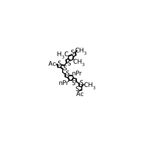 CCCc1c2cc(-c3sc(C)c4cc(C(C)=O)sc34)sc2c(CCC)c2cc(Cc3sc(-c4cc5c(C)c6sc(C)cc6c(C)c5s4)c4sc(C(C)=O)cc34)sc12